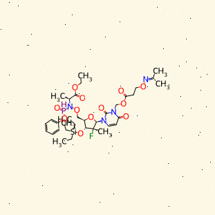 CCOC(=O)[C@H](C)N(OC[C@H]1O[C@@H](n2ccc(=O)n(COC(=O)CCON=C(C)C)c2=O)[C@](C)(F)[C@@H]1O[Si](CC)(CC)CC)[PH](=O)Oc1ccccc1